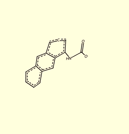 [O]C(=O)Nc1cccc2cc3ccccc3cc12